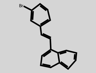 Brc1cccc(C=Cc2cccc3ccccc23)c1